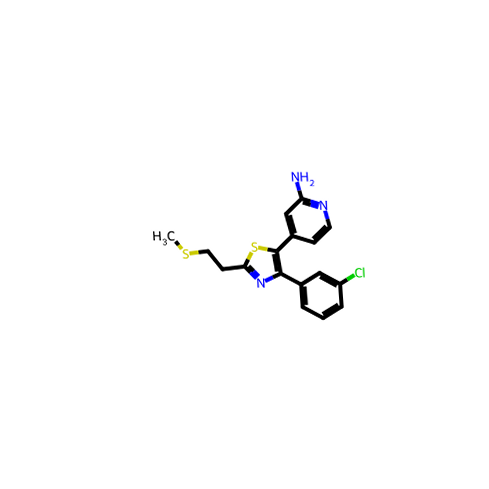 CSCCc1nc(-c2cccc(Cl)c2)c(-c2ccnc(N)c2)s1